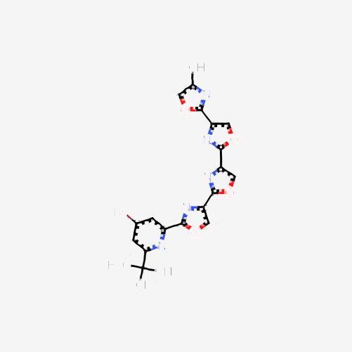 Cc1coc(-c2coc(-c3coc(-c4coc(-c5cc(Br)cc(C(C)(C)C)n5)n4)n3)n2)n1